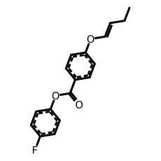 CC/C=C/Oc1ccc(C(=O)Oc2ccc(F)cc2)cc1